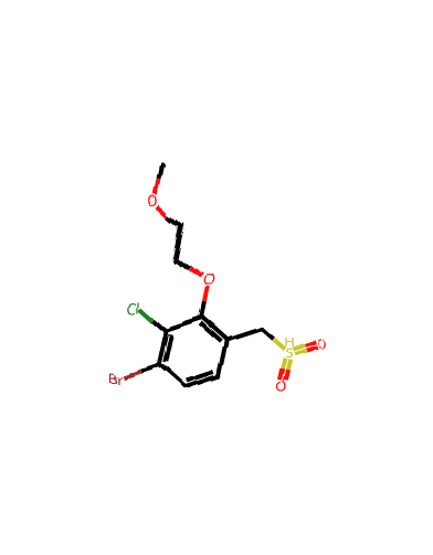 COCCOc1c(C[SH](=O)=O)ccc(Br)c1Cl